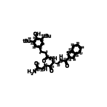 CC(C)(C)c1cc(CCC(=O)N[C@H](CNC(=O)c2cc3ccccc3s2)C(=O)NCC(N)=O)cc(C(C)(C)C)c1O